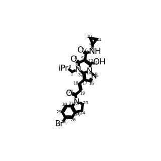 CC(C)Cn1c(=O)c(C(=O)NC2CC2)c(O)n2ncc(C=CC(=O)N3CCc4cc(Br)ccc43)c12